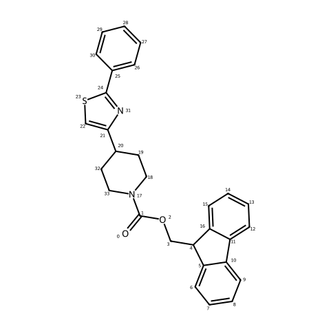 O=C(OCC1c2ccccc2-c2ccccc21)N1CCC(c2csc(-c3ccccc3)n2)CC1